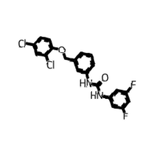 O=C(Nc1cc(F)cc(F)c1)Nc1cccc(COc2ccc(Cl)cc2Cl)c1